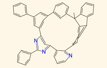 CC12c3cccc(c3)-c3cc(-c4ccccc4)cc(c3)-c3cc(nc(-c4ccccc4)n3)-c3cccnc3-c3ccc1c(c3)-c1ccccc12